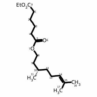 CCOC(=O)CCCCC(=O)OCC[C@@H](C)CCC=C(C)C